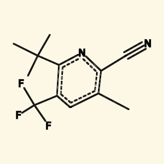 Cc1cc(C(F)(F)F)c(C(C)(C)C)nc1C#N